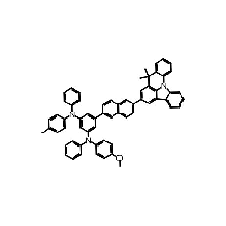 COc1ccc(N(c2ccccc2)c2cc(-c3ccc4cc(-c5cc6c7c(c5)c5ccccc5n7-c5ccccc5C6(C)C)ccc4c3)cc(N(c3ccccc3)c3ccc(C)cc3)c2)cc1